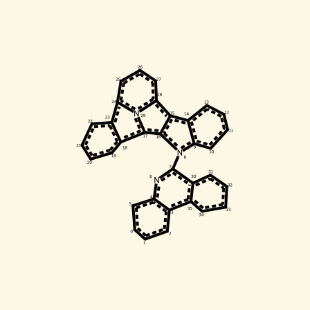 c1ccc2c(c1)nc(-n1c3ccccc3c3c1c1c4ccccc4c4cccc3n41)c1ccccc12